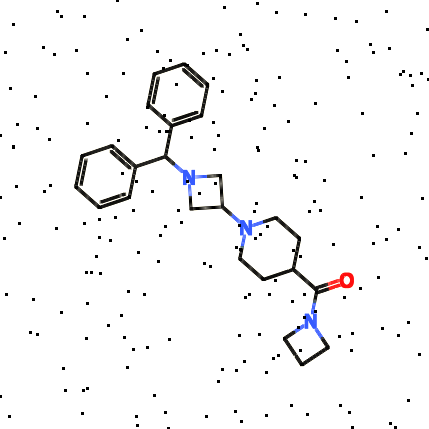 O=C(C1CCN(C2CN(C(c3ccccc3)c3ccccc3)C2)CC1)N1CCC1